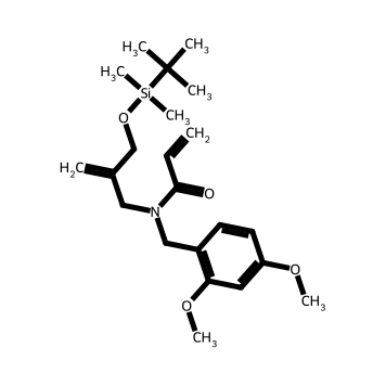 C=CC(=O)N(CC(=C)CO[Si](C)(C)C(C)(C)C)Cc1ccc(OC)cc1OC